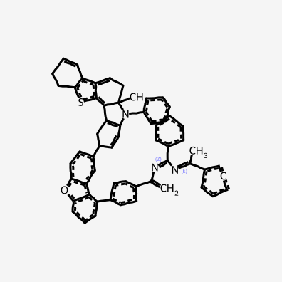 C=C(/N=C(\N=C(/C)c1ccccc1)c1ccccc1)c1ccc(-c2cccc3oc4ccc(C5C=CC6=C(C5)C5=c7sc8c(c7=CCC5(C)N6c5ccccc5)C=CCC8)cc4c23)cc1